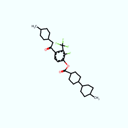 CC1CCC(CC(=O)c2ccc(OC(=O)C3CCC(C4CCC(C)CC4)CC3)c(F)c2C(F)(F)F)CC1